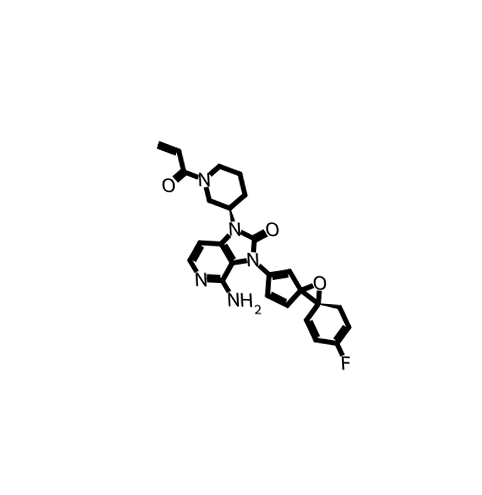 C=CC(=O)N1CCC[C@@H](n2c(=O)n(C3=CC4(C=C3)O[C@]43C=CC(F)=CC3)c3c(N)nccc32)C1